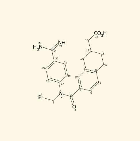 CC(C)CN(C(=O)c1ccc2c(c1)CC(CC(=O)O)CC2)c1ccc(C(=N)N)cc1